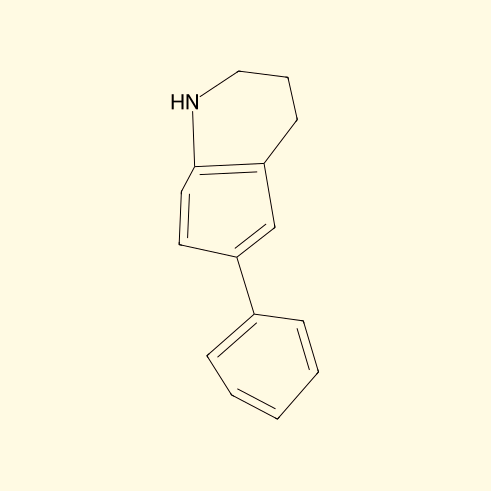 c1ccc(-c2ccc3c(c2)CCCN3)cc1